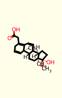 CO[C@]1(O)CC[C@H]2[C@@H]3C=CC4=C(CC(=O)O)CC=C[C@]4(C)[C@H]3CC[C@@]21C